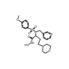 COc1ccc(S(=O)(=O)N(Cc2cccnc2)C(CCN2CCOCC2)C(=O)NO)cc1